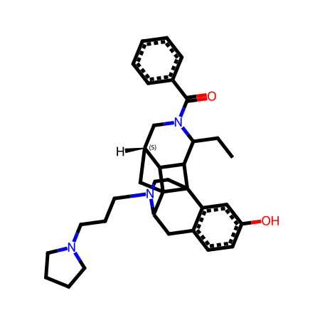 CCC1C2C3[C@@H](CN1C(=O)c1ccccc1)CC31C3Cc4ccc(O)cc4C21CCN3CCCN1CCCC1